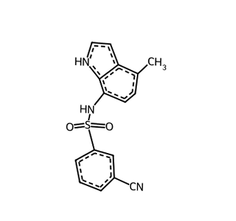 Cc1ccc(NS(=O)(=O)c2cccc(C#N)c2)c2[nH]ccc12